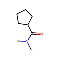 [CH2]N(C)C(=O)C1CCCC1